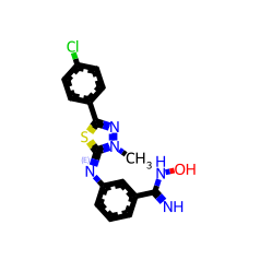 Cn1nc(-c2ccc(Cl)cc2)s/c1=N/c1cccc(C(=N)NO)c1